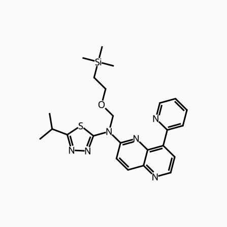 CC(C)c1nnc(N(COCC[Si](C)(C)C)c2ccc3nccc(-c4ccccn4)c3n2)s1